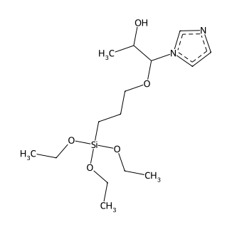 CCO[Si](CCCOC(C(C)O)n1ccnc1)(OCC)OCC